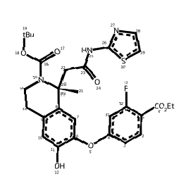 CCOC(=O)c1ccc(Oc2cc3c(cc2O)CCN(C(=O)OC(C)(C)C)[C@]3(C)CC(=O)Nc2nccs2)cc1F